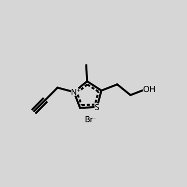 C#CC[n+]1csc(CCO)c1C.[Br-]